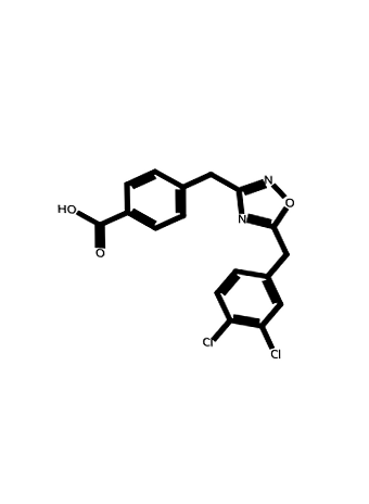 O=C(O)c1ccc(Cc2noc(Cc3ccc(Cl)c(Cl)c3)n2)cc1